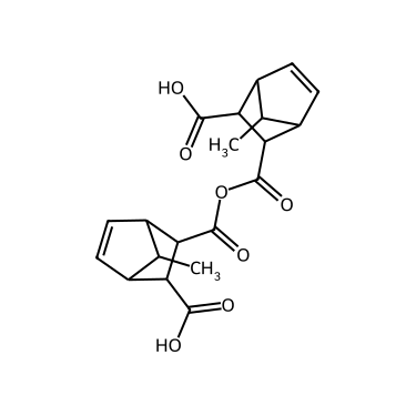 CC1C2C=CC1C(C(=O)OC(=O)C1C3C=CC(C3C)C1C(=O)O)C2C(=O)O